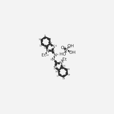 CCn1c(=NN=c2sc3ccccc3n2CC)sc2ccccc21.O=P(O)(O)O